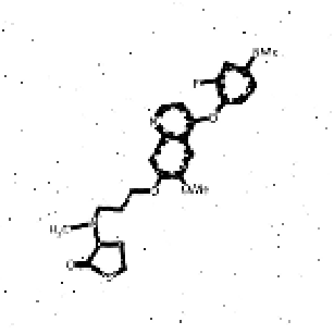 CNc1ccc(Oc2ccnc3cc(OCCCN(C)C4CCSC4=O)c(OC)cc23)c(F)c1